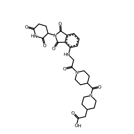 O=C(O)CC1CCN(C(=O)C2CCN(C(=O)CNc3cccc4c3C(=O)N(C3CCC(=O)NC3=O)C4=O)CC2)CC1